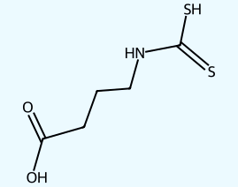 O=C(O)CCCNC(=S)S